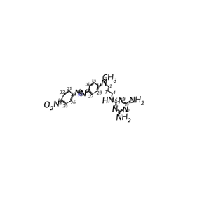 CN(CCCNc1nc(N)nc(N)n1)c1ccc(/N=N/c2ccc([N+](=O)[O-])cc2)cc1